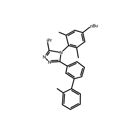 CCCCc1cc(C)c(-n2c(-c3cccc(-c4ccccc4C)c3)nnc2C(C)C)c(C)c1